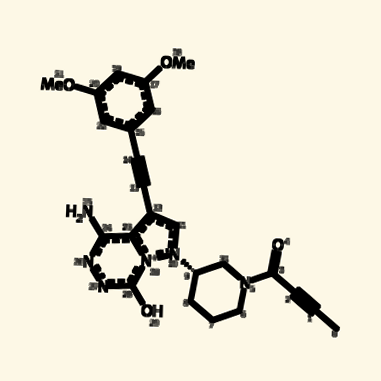 CC#CC(=O)N1CCC[C@H](n2cc(C#Cc3cc(OC)cc(OC)c3)c3c(N)nnc(O)[n+]32)C1